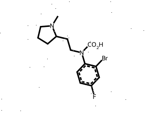 CN1CCCC1CCN(C(=O)O)c1ccc(F)cc1Br